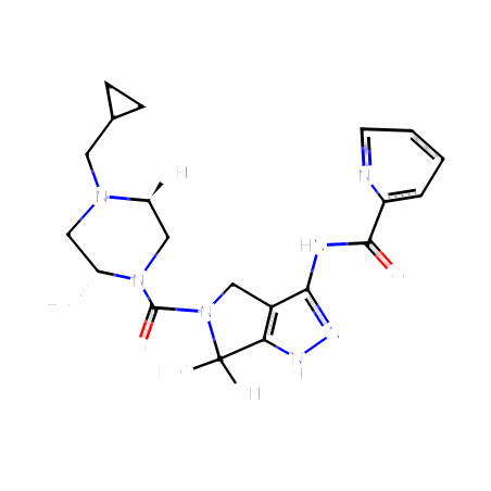 C[C@@H]1CN(CC2CC2)[C@@H](C)CN1C(=O)N1Cc2c(NC(=O)c3ccccn3)n[nH]c2C1(C)C